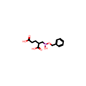 O=C(O)CCC(CP(O)OCc1ccccc1)C(=O)O